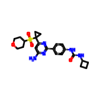 Nc1cc(C2(S(=O)(=O)C3CCOCC3)CC2)nc(-c2ccc(NC(=O)NC3CCC3)cc2)n1